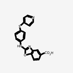 O=C(O)c1ccc2oc(Nc3ccc(Sc4ccncc4)cc3)nc2c1